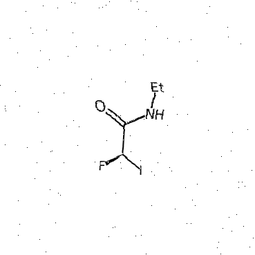 CCNC(=O)[C@H](F)I